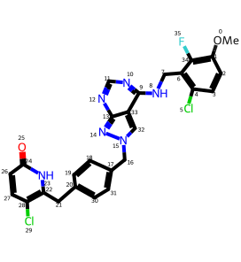 COc1ccc(Cl)c(CNc2ncnc3nn(Cc4ccc(Cc5[nH]c(=O)ccc5Cl)cc4)cc23)c1F